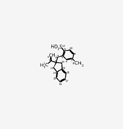 C=C(C)C1(Cc2cc(C)ccc2S(=O)(=O)O)Cc2ccccc2C1